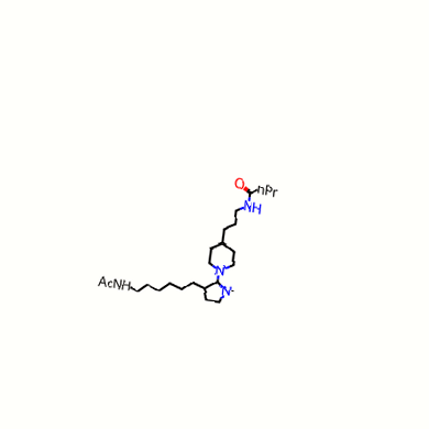 CCCC(=O)NCCCC1CCN(C2[N]CCC2CCCCCCNC(C)=O)CC1